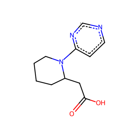 O=C(O)CC1CCCCN1c1ccn[c]n1